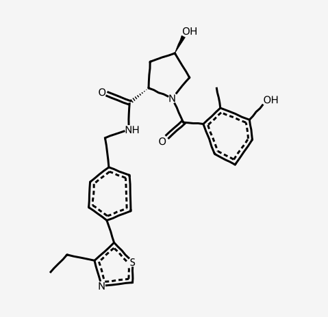 CCc1ncsc1-c1ccc(CNC(=O)[C@@H]2C[C@@H](O)CN2C(=O)c2cccc(O)c2C)cc1